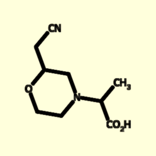 CC(C(=O)O)N1CCOC(CC#N)C1